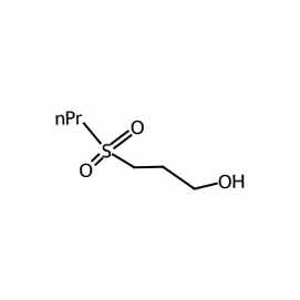 CCCS(=O)(=O)CCCO